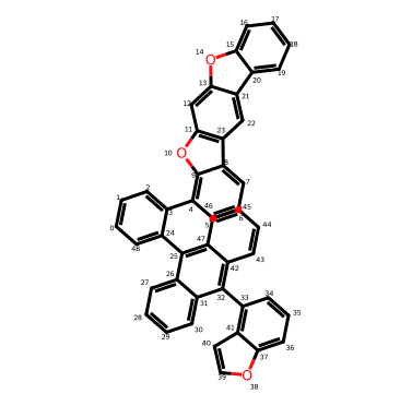 c1ccc(-c2cccc3c2oc2cc4oc5ccccc5c4cc23)c(-c2c3ccccc3c(-c3cccc4occc34)c3ccccc23)c1